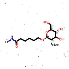 CCNC(=O)CCCCCO[C@@H]1OC(CO)[C@H](O)C(O)[C@@H]1NC(C)=O